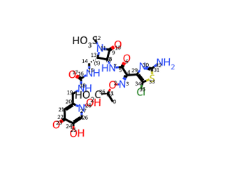 C[C@H](ON=C(C(=O)N[C@@H]1C(=O)N(S(=O)(=O)O)[C@H]1CNC(=O)NCc1cc(=O)c(O)cn1O)c1nc(N)sc1Cl)C(=O)O